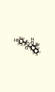 CC(C)(OC(=O)c1cc2ccccc2c(Br)c1O)C1CCNCC1